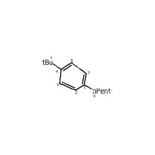 CCCC[CH]c1ccc(C(C)(C)C)cc1